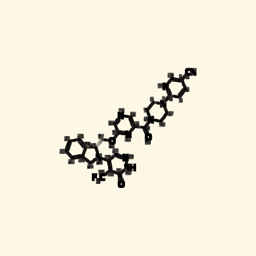 N#Cc1ccc(N2CCN(C(=O)c3cncc(OC[C@H]4c5ccccc5CN4c4cn[nH]c(=O)c4C(F)(F)F)n3)CC2)nc1